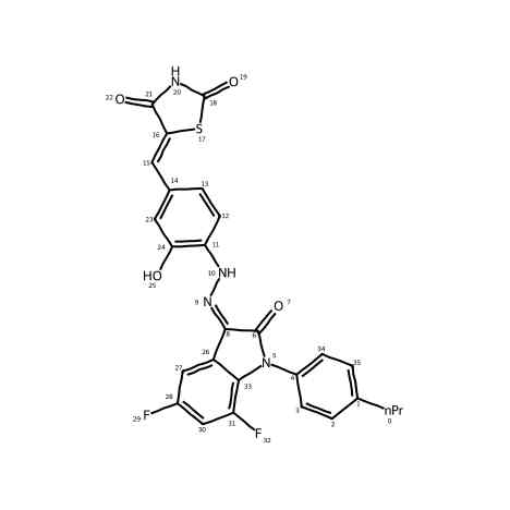 CCCc1ccc(N2C(=O)/C(=N\Nc3ccc(/C=C4\SC(=O)NC4=O)cc3O)c3cc(F)cc(F)c32)cc1